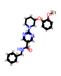 CCOc1ccccc1OC1CCCN(c2ncc(C(=O)NCc3ccccc3)cn2)C1